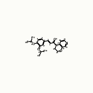 O=C(/C=C/c1ccc(OC(F)F)c(OC(F)F)c1)N1CCOc2cnccc21